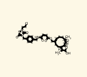 C=C1C(O)O[C@H]2[C@H]1CC/C(COC(=O)/C=C\C(=O)NCc1ccc(Cn3c(=O)sn(CCCl)c3=O)cc1)=C\CC[C@@]1(C)O[C@@H]21